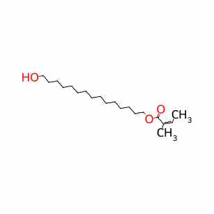 CC=C(C)C(=O)OCCCCCCCCCCCCCCCO